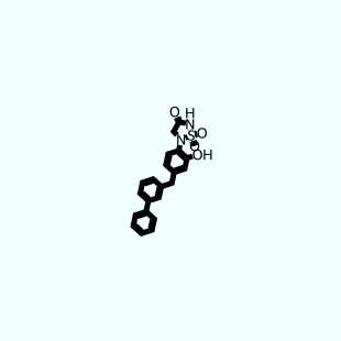 O=C1CN(c2ccc(Cc3cccc(-c4ccccc4)c3)cc2O)S(=O)(=O)N1